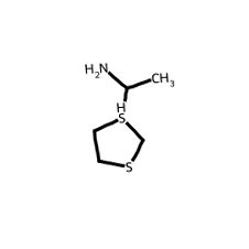 CC(N)[SH]1CCSC1